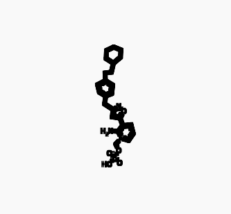 Nc1c(-c2cc(Cc3ccc(CCC4CCCCC4)cc3)no2)ccc[n+]1COP(=O)([O-])O